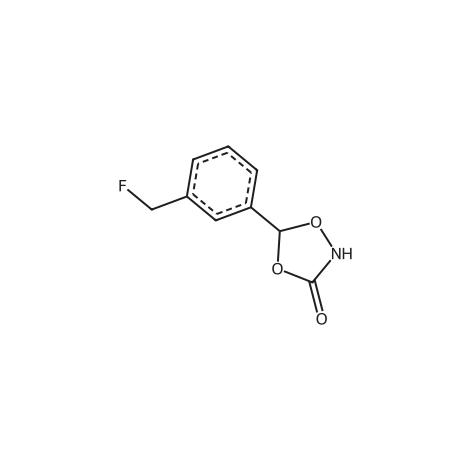 O=C1NOC(c2cccc(CF)c2)O1